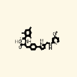 COc1ccnc(NCc2ccc(-c3ccc(CC(NC(=O)c4c(C)cc(C)cc4C)C(=O)O)cc3)[nH]2)c1